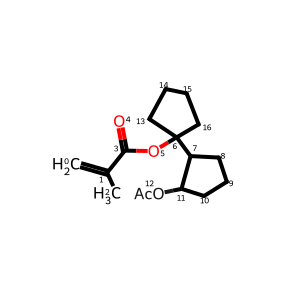 C=C(C)C(=O)OC1(C2CCCC2OC(C)=O)CCCC1